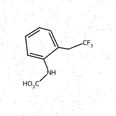 O=C(O)Nc1ccccc1CC(F)(F)F